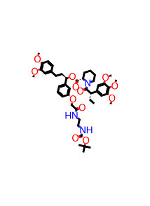 CC[C@H](C(=O)N1CCCC[C@H]1C(=O)O[C@H](CCc1ccc(OC)c(OC)c1)c1cccc(OCC(=O)NCCNC(=O)OC(C)(C)C)c1)c1cc(OC)c(OC)c(OC)c1